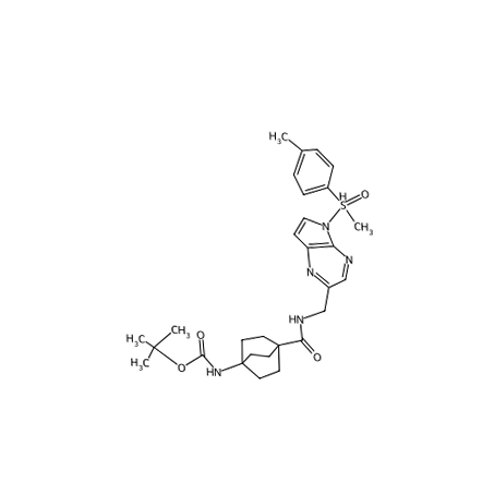 Cc1ccc([SH](C)(=O)n2ccc3nc(CNC(=O)C45CCC(NC(=O)OC(C)(C)C)(CC4)CC5)cnc32)cc1